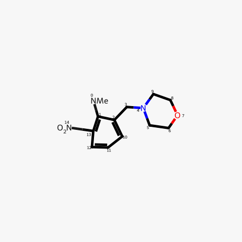 CNc1c(CN2CCOCC2)cccc1[N+](=O)[O-]